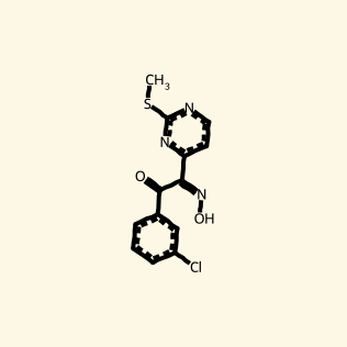 CSc1nccc(C(=NO)C(=O)c2cccc(Cl)c2)n1